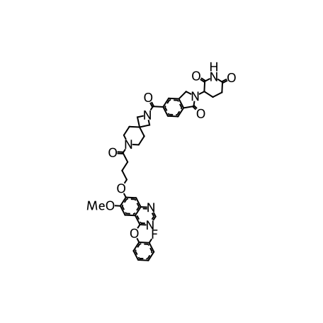 COc1cc2c(Oc3ccccc3F)ncnc2cc1OCCCC(=O)N1CCC2(CC1)CN(C(=O)c1ccc3c(c1)CN(C1CCC(=O)NC1=O)C3=O)C2